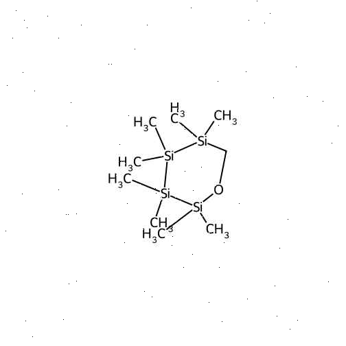 C[Si]1(C)CO[Si](C)(C)[Si](C)(C)[Si]1(C)C